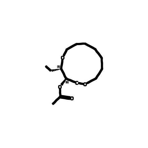 CC[C@@H]1OCCCCCCCOC[C@H]1OC(C)=O